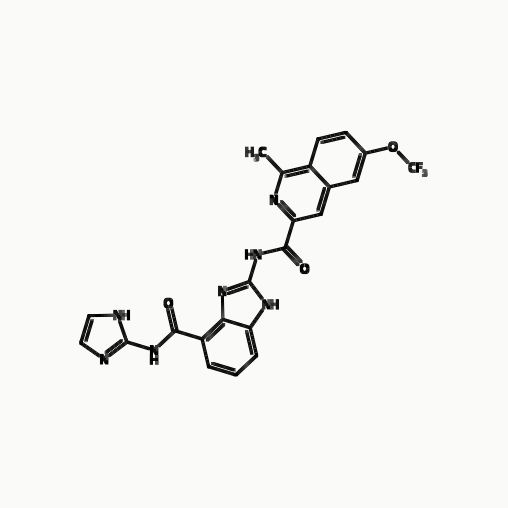 Cc1nc(C(=O)Nc2nc3c(C(=O)Nc4ncc[nH]4)cccc3[nH]2)cc2cc(OC(F)(F)F)ccc12